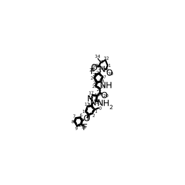 Cc1cc(Oc2ccccc2F)ccc1-n1ncc(C(=O)c2cc3cc(F)c(N4C(=O)CC[C@H](C)C4=O)cc3[nH]2)c1N